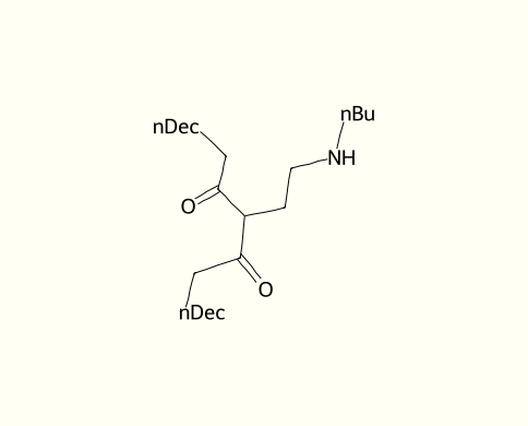 CCCCCCCCCCCC(=O)C(CCNCCCC)C(=O)CCCCCCCCCCC